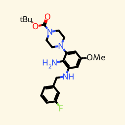 COc1cc(NCc2cccc(F)c2)c(N)c(N2CCN(C(=O)OC(C)(C)C)CC2)c1